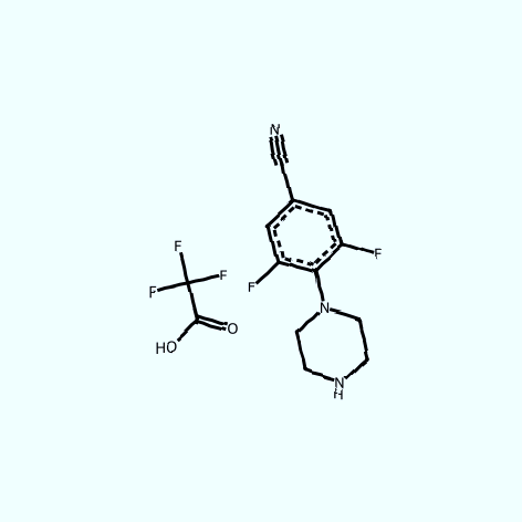 N#Cc1cc(F)c(N2CCNCC2)c(F)c1.O=C(O)C(F)(F)F